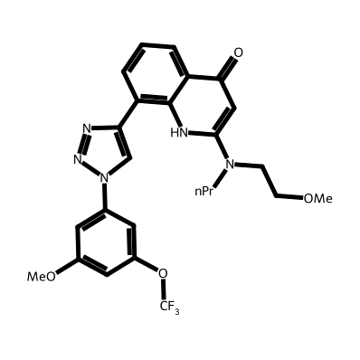 CCCN(CCOC)c1cc(=O)c2cccc(-c3cn(-c4cc(OC)cc(OC(F)(F)F)c4)nn3)c2[nH]1